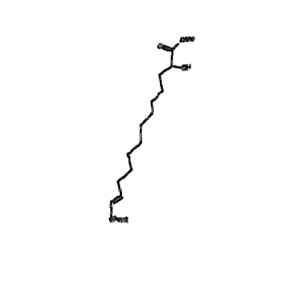 CCCCCC=CCCCCCCCCCC(O)C(=O)OC